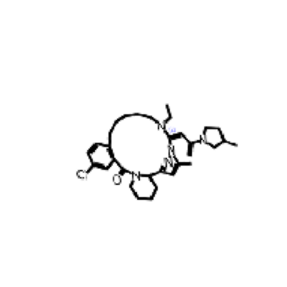 C=C(/C=C1/N(CC)CCCCCc2ccc(Cl)cc2C(=O)N2CCCCC2c2cc(C)n1n2)N1CCC(C)C1